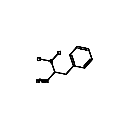 CCCCCC(Cc1ccccc1)B(Cl)Cl